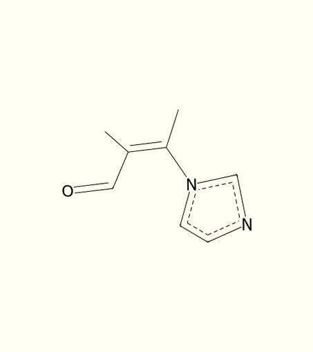 CC(C=O)=C(C)n1ccnc1